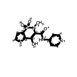 CN1C(C(=O)Nc2ccncc2)=C(O)c2sccc2S1(=O)=O